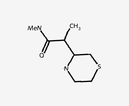 CNC(=O)C(C)C1CSCC[N]1